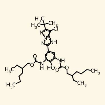 CCCCC(CC)COC(=O)Nc1cc(-c2nn3nc(C(C)(C)C)c(Cl)c3[nH]2)cc(NC(=O)OCC(CC)CCCC)c1O